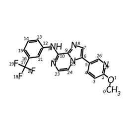 COc1ccc(-c2cnc3c(Nc4cccc(C(F)(F)F)c4)nccn23)cn1